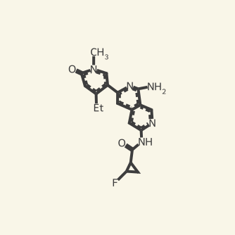 CCc1cc(=O)n(C)cc1-c1cc2cc(NC(=O)C3CC3F)ncc2c(N)n1